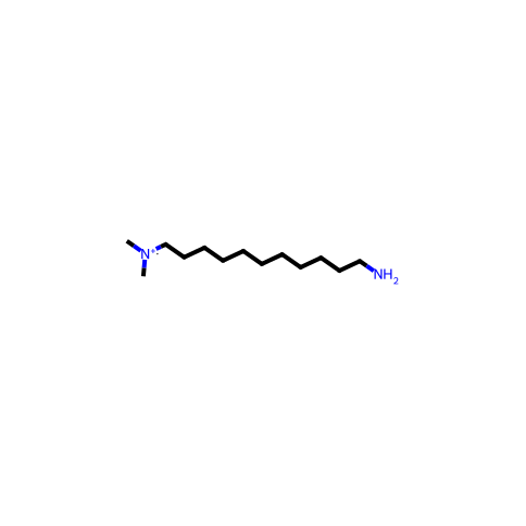 C[N+](C)CCCCCCCCCCCN